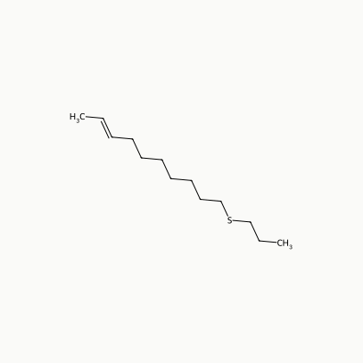 C/C=C/CCCCCCCSCCC